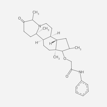 CC1C[C@H]2[C@@H]3CCN4C(C)C(=O)CC[C@]4(C)[C@@H]3CC[C@]2(C)C1OCC(=O)Nc1ccccc1